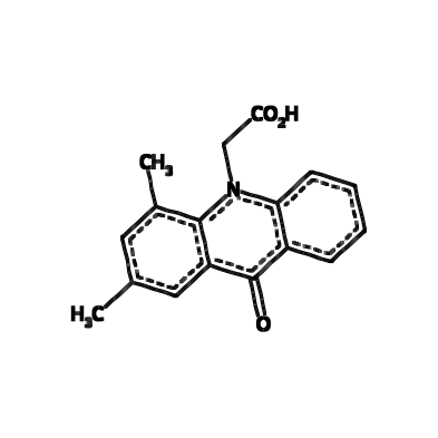 Cc1cc(C)c2c(c1)c(=O)c1ccccc1n2CC(=O)O